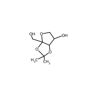 CC1(C)OC2C(O)COC2(CO)O1